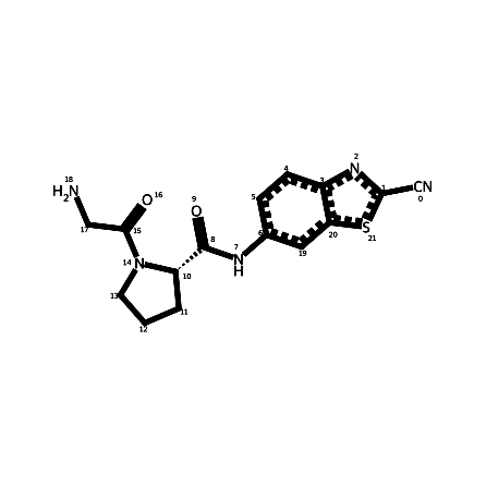 N#Cc1nc2ccc(NC(=O)[C@@H]3CCCN3C(=O)CN)cc2s1